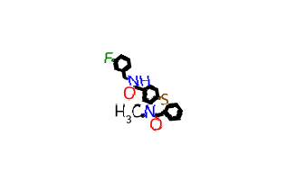 CCN1C(=O)c2ccccc2Sc2ccc(C(=O)NCc3cccc(F)c3)cc21